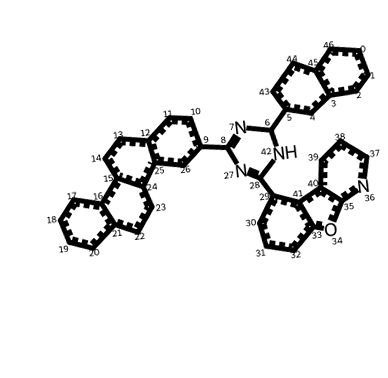 c1ccc2cc(C3N=C(c4ccc5ccc6c7ccccc7ccc6c5c4)N=C(c4cccc5oc6ncccc6c45)N3)ccc2c1